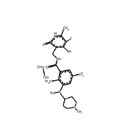 CCN(c1cc(C(F)(F)F)cc(C(=O)NCc2c(C(C)C)c(F)c(C)[nH]c2=O)c1C)C1CCN(C)CC1.O=CO